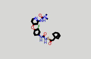 CN(C)C(=O)Nc1cc(Oc2ccc(NC(=O)NSC(=O)CC34CCC(CC3)C4)cc2F)ccn1